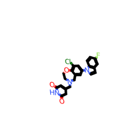 O=C1C=C(CN2CCOc3c(Cl)cc(-n4ccc5cc(F)ccc54)cc3C2)CC(=O)N1